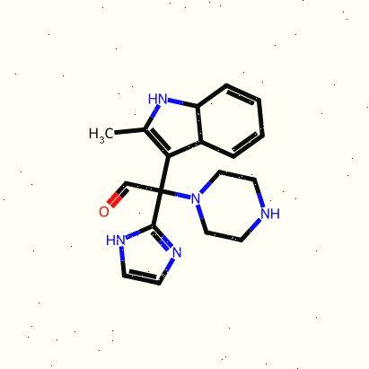 CC1=C(C(C=O)(c2ncc[nH]2)N2CCNCC2)C2C=CC=CC2N1